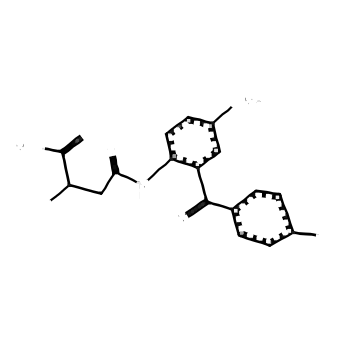 COC(=O)C(C)CC(=O)Nc1ccc(OC)cc1C(=N)c1ccc(Cl)cc1